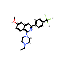 CCN1CCN(c2nc(-c3ccc(C(F)(F)F)cc3)cc3cc(OC)ccc23)CC1